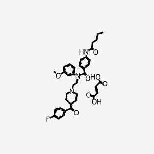 CCCCC(=O)Nc1ccc(C(=O)N(CCN2CCC(C(=O)c3ccc(F)cc3)CC2)c2cccc(OC)c2)cc1.O=C(O)C=CC(=O)O